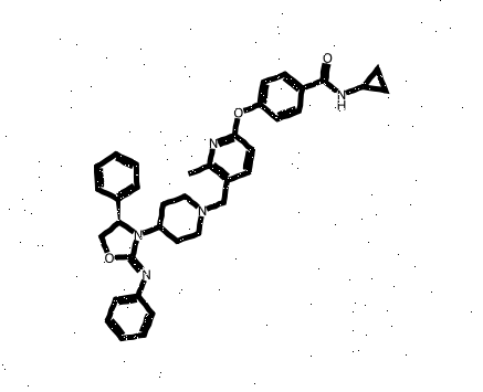 Cc1nc(Oc2ccc(C(=O)NC3CC3)cc2)ccc1CN1CCC(N2C(=Nc3ccccc3)OC[C@H]2c2ccccc2)CC1